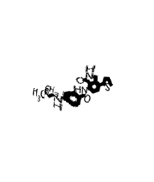 CN(C)CCNc1ccc(C(=O)Nc2ccc(-c3cccs3)c3c2C(=O)NC3)cc1